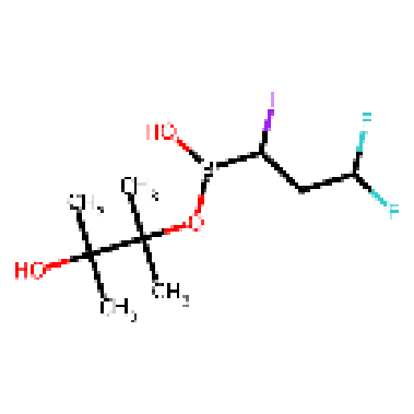 CC(C)(O)C(C)(C)OB(O)C(I)CC(F)F